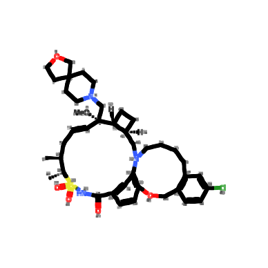 CO[C@@]1(CN2CCC3(CCOC3)CC2)/C=C/C[C@H](C)[C@@H](C)S(=O)(=O)NC(=O)c2ccc3c(c2)N(CCCCc2cc(Cl)ccc2CO3)C[C@@H]2CC[C@H]21